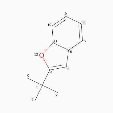 CC(C)(C)C1=CC2C=CC=CC2O1